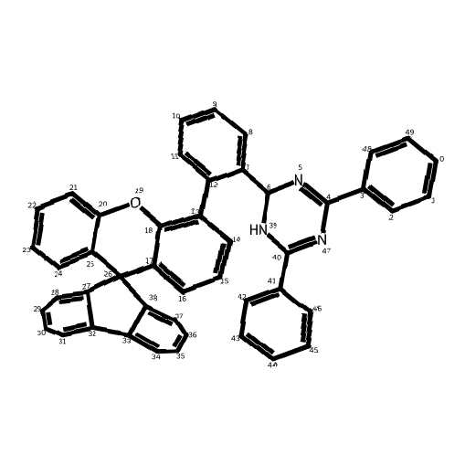 c1ccc(C2=NC(c3ccccc3-c3cccc4c3Oc3ccccc3C43c4ccccc4-c4ccccc43)NC(c3ccccc3)=N2)cc1